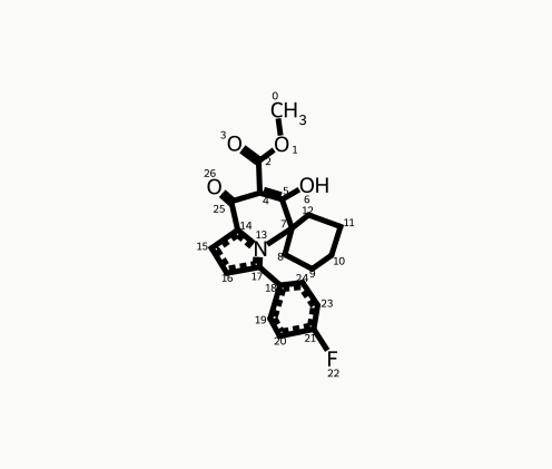 COC(=O)C1=C(O)C2(CCCCC2)n2c(ccc2-c2ccc(F)cc2)C1=O